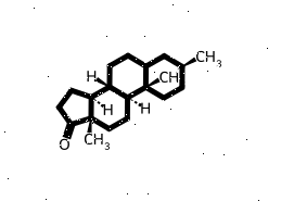 C[C@H]1CC[C@@]2(C)C(CC[C@@H]3[C@@H]2CC[C@]2(C)C(=O)CC[C@@H]32)C1